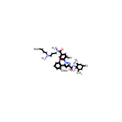 C=C1CC(CC)CC(C)C1(NC(=O)c1cc(-c2c(OC)cccc2OC)n(-c2ccc(C(=O)N(C)CCCN(C)CCCNC)cc2C(C)C)n1)C(=O)O